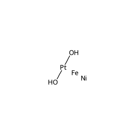 [Fe].[Ni].[OH][Pt][OH]